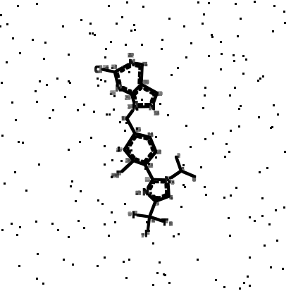 CC(C)n1cc(C(F)(F)F)nc1-c1ccc(Cn2ncc3cnc(Cl)nc32)cc1F